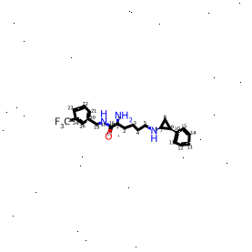 NC(CCCCN[C@@H]1C[C@H]1c1ccccc1)C(=O)NCc1cccc(C(F)(F)F)c1